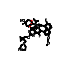 COCOc1cc(-c2ncc3c(N4CCC[C@@](C)(O)C4)nc(OCC4(CN5CCNCC5)CC4)nc3c2F)c2c(C#C[Si](C(C)C)(C(C)C)C(C)C)c(F)ccc2c1